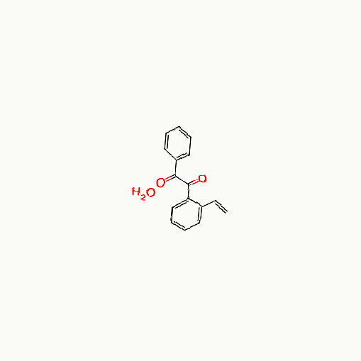 C=Cc1ccccc1C(=O)C(=O)c1ccccc1.O